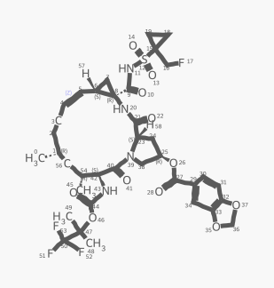 C[C@@H]1CC/C=C\[C@@H]2C[C@@]2(C(=O)NS(=O)(=O)C2(CF)CC2)NC(=O)[C@@H]2C[C@@H](OC(=O)c3ccc4c(c3)OCO4)CN2C(=O)[C@@H](NC(=O)OC(C)(C)C(F)(F)F)[C@H](C)C1